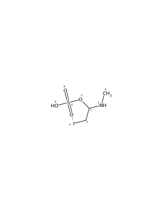 CNC(CI)OS(=O)(=O)O